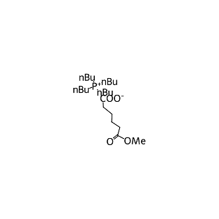 CCCC[P+](CCCC)(CCCC)CCCC.COC(=O)CCCCC(=O)[O-]